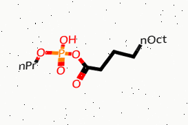 CCCCCCCCCCCC(=O)OP(=O)(O)OCCC